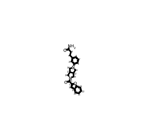 NC(=O)CCc1cccc(N2CC3CN(C(=O)c4cc5ccccc5o4)CC3C2)c1